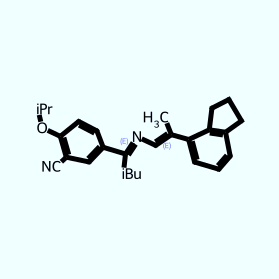 CCC(C)/C(=N\C=C(/C)c1cccc2c1CCC2)c1ccc(OC(C)C)c(C#N)c1